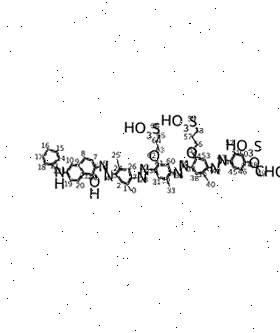 Cc1cc(N=Nc2ccc3cc(Nc4ccccc4)ccc3c2O)c(C)cc1N=Nc1cc(C)c(N=Nc2cc(C)c(N=Nc3ccc(OC=O)cc3S(=O)(=O)O)cc2OCCCS(=O)(=O)O)cc1OCCCS(=O)(=O)O